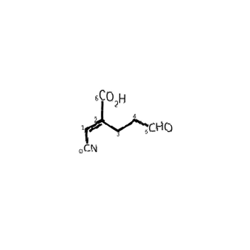 N#CC=C(CCC=O)C(=O)O